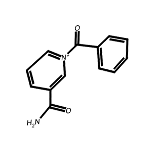 NC(=O)c1ccc[n+](C(=O)c2ccccc2)c1